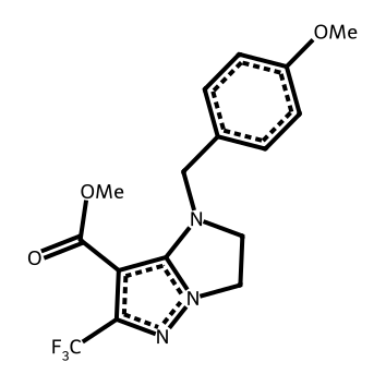 COC(=O)c1c(C(F)(F)F)nn2c1N(Cc1ccc(OC)cc1)CC2